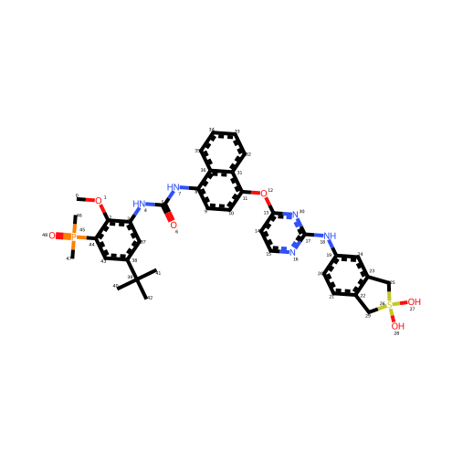 COc1c(NC(=O)Nc2ccc(Oc3ccnc(Nc4ccc5c(c4)CS(O)(O)C5)n3)c3ccccc23)cc(C(C)(C)C)cc1P(C)(C)=O